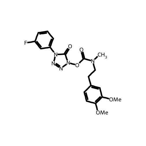 COc1ccc(CCN(C)C(=O)On2nnn(-c3cccc(F)c3)c2=O)cc1OC